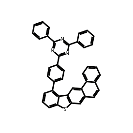 c1ccc(-c2nc(-c3ccccc3)nc(-c3ccc(-c4cccc5sc6cc7ccc8ccccc8c7cc6c45)cc3)n2)cc1